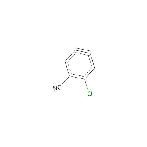 N#Cc1cc#ccc1Cl